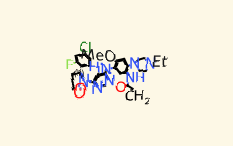 C=CC(=O)Nc1cc(Nc2cc(N3OCC[C@@H]3c3ccc(Cl)cc3F)ncn2)c(OC)cc1N1CCN(CC)CC1